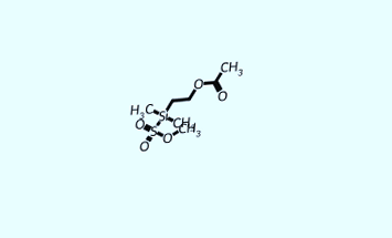 COS(=O)(=O)[Si](C)(C)CCOC(C)=O